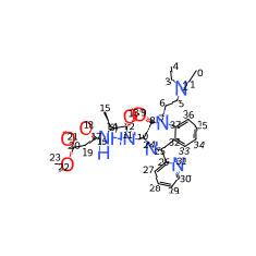 CCN(CC)CCN1C(=O)C(NC(=O)[C@H](C)NC(=O)CC(=O)OC)N=C(c2ccccn2)c2ccccc21